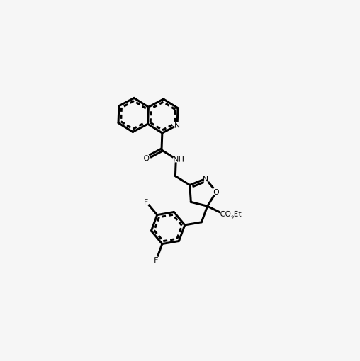 CCOC(=O)C1(Cc2cc(F)cc(F)c2)CC(CNC(=O)c2nccc3ccccc23)=NO1